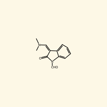 CN(C)C=C1C(=O)N(C=O)c2ccccc21